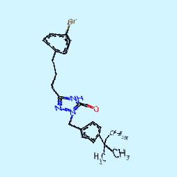 CC(C)(C)c1ccc(Cn2nc(CCCc3ccc(Br)cc3)[nH]c2=O)cc1